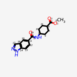 COC(=O)C1CCC(NC(=O)c2ccc3[nH]ncc3c2)CC1